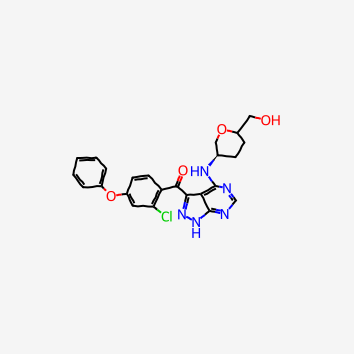 O=C(c1ccc(Oc2ccccc2)cc1Cl)c1n[nH]c2ncnc(N[C@@H]3CCC(CO)OC3)c12